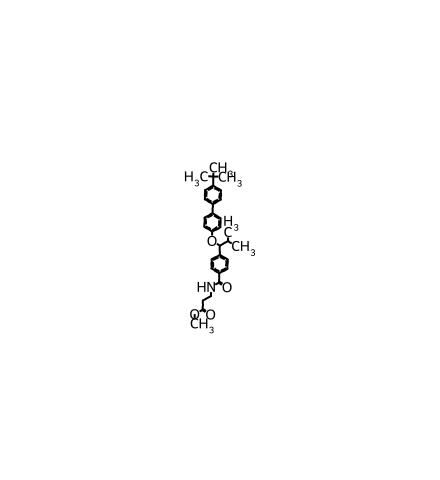 COC(=O)CCNC(=O)c1ccc(C(Oc2ccc(-c3ccc(C(C)(C)C)cc3)cc2)C(C)C)cc1